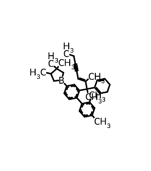 CCC#C/C=C(\C)C(C)(C1=CCCC=C1)c1cc(B2CC(C)C(C)(C)C2)ccc1-c1ccc(C)cc1C